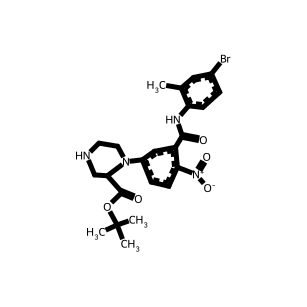 Cc1cc(Br)ccc1NC(=O)c1cc(N2CCNCC2C(=O)OC(C)(C)C)ccc1[N+](=O)[O-]